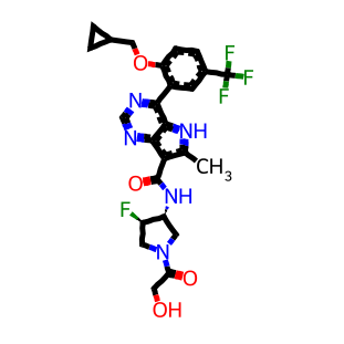 Cc1[nH]c2c(-c3cc(C(F)(F)F)ccc3OCC3CC3)ncnc2c1C(=O)N[C@@H]1CN(C(=O)CO)C[C@H]1F